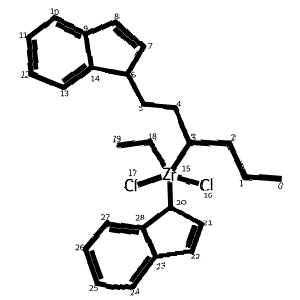 CCC[CH](CCC1C=Cc2ccccc21)[Zr]([Cl])([Cl])([CH2]C)[CH]1C=Cc2ccccc21